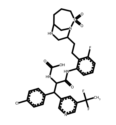 CC(F)(F)c1cncc(C(c2ccc(Cl)cc2)C(NC(=O)O)C(=O)Nc2cccc(F)c2CCC2CNC3CCCS(=O)(=O)N2C3)c1